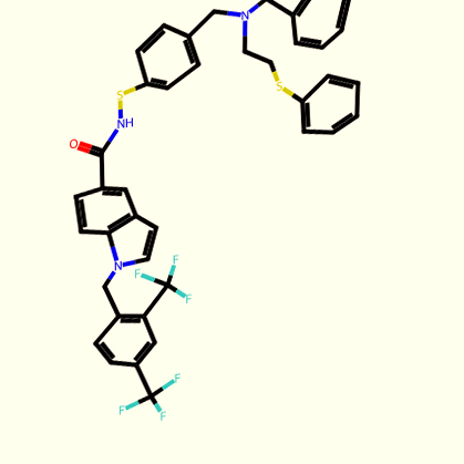 COc1cccc(CN(CCSc2ccccc2)Cc2ccc(SNC(=O)c3ccc4c(ccn4Cc4ccc(C(F)(F)F)cc4C(F)(F)F)c3)cc2)c1